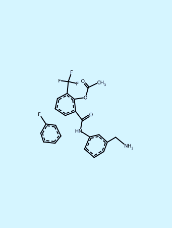 CC(=O)Oc1c(C(=O)Nc2cccc(CN)c2)cccc1C(F)(F)F.Fc1ccccc1